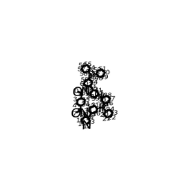 O=C(c1ccc(C(=O)n2c3ccncc3c3cc(P(c4ccccc4)c4ccccc4)ccc32)cc1)n1c2ccncc2c2cc(P(c3ccccc3)c3ccccc3)ccc21